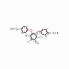 CCOC(=O)c1ccc(Oc2c(F)c(C#N)c(C#N)c(F)c2Oc2ccc(C(=O)OCC)cc2)cc1